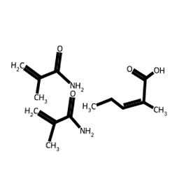 C=C(C)C(N)=O.C=C(C)C(N)=O.CCC=C(C)C(=O)O